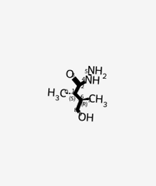 C[C@H](C(=O)NN)[C@@H](C)CO